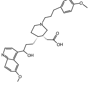 COc1ccc(CCCN2CC[C@@H](CCC(O)c3ccnc4ccc(OC)cc34)[C@@H](CC(=O)O)C2)cc1